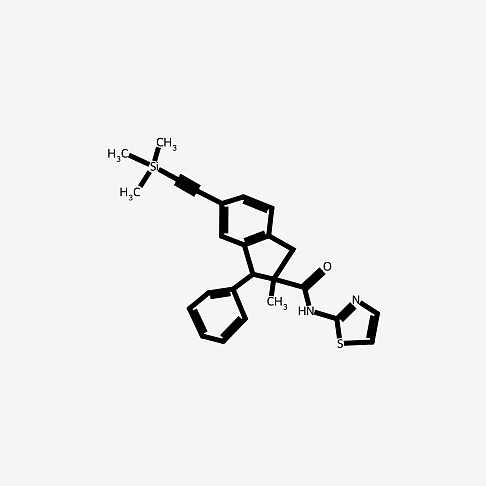 CC1(C(=O)Nc2nccs2)Cc2ccc(C#C[Si](C)(C)C)cc2C1c1ccccc1